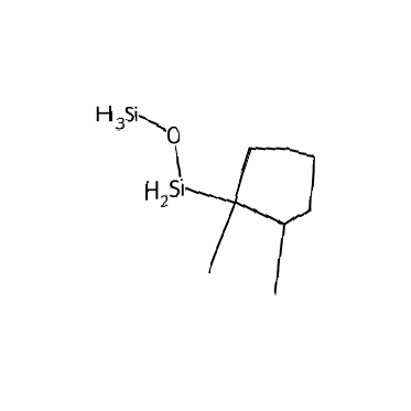 CC1CCCC1(C)[SiH2]O[SiH3]